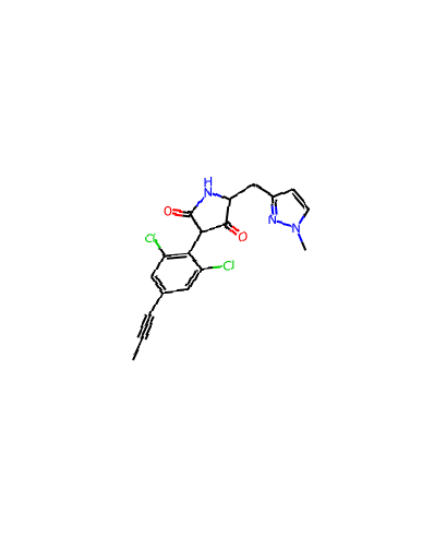 CC#Cc1cc(Cl)c(C2C(=O)NC(Cc3ccn(C)n3)C2=O)c(Cl)c1